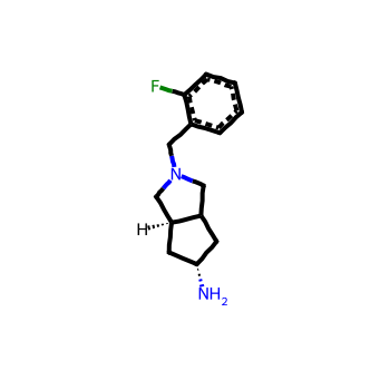 N[C@H]1CC2CN(Cc3ccccc3F)C[C@@H]2C1